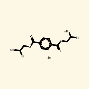 CCCCC(CC)COC(=O)c1ccc(C(=O)OCC(CC)CCCC)cc1.[Sn]